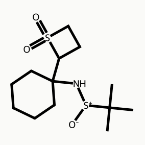 CC(C)(C)[S+]([O-])NC1(C2CCS2(=O)=O)CCCCC1